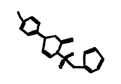 Cc1ccc(C2C=CN(S(=O)(=O)Cc3ccccc3)C(=O)C2)cc1